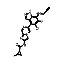 C#CCNc1c(F)c(Cl)c(-c2cn3cc(NC(=O)C4CC4F)nc3cn2)c2cn[nH]c12